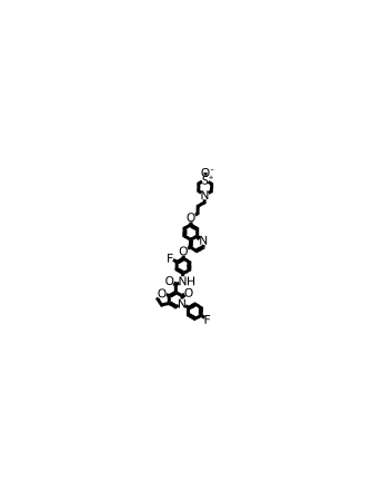 O=C(Nc1ccc(Oc2ccnc3cc(OCCCN4CC[S+]([O-])CC4)ccc23)c(F)c1)c1c2c(cn(-c3ccc(F)cc3)c1=O)CCO2